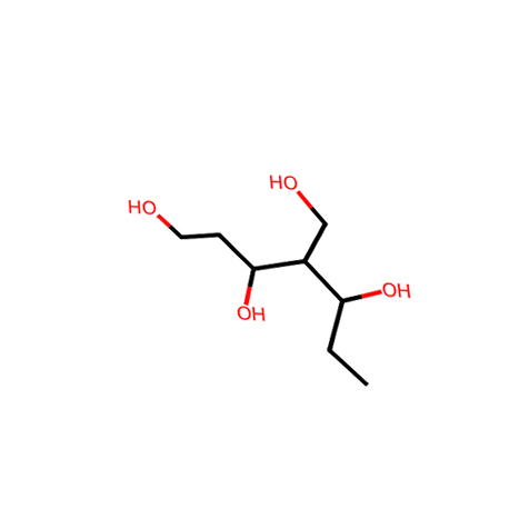 CCC(O)C(CO)C(O)CCO